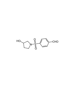 O=Cc1ccc(S(=O)(=O)N2CCC(O)C2)cc1